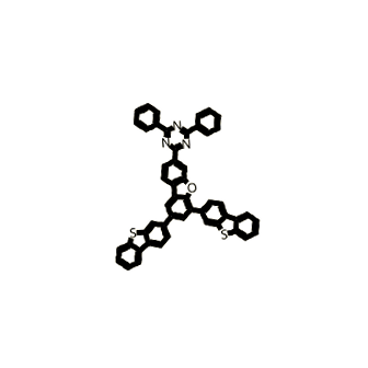 c1ccc(-c2nc(-c3ccccc3)nc(-c3ccc4c(c3)oc3c(-c5ccc6c(c5)sc5ccccc56)cc(-c5ccc6c(c5)sc5ccccc56)cc34)n2)cc1